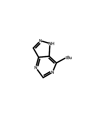 CC(C)(C)c1ncnc2cn[nH]c12